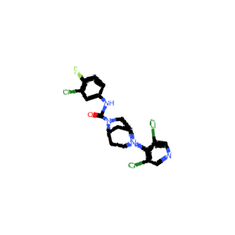 O=C(Nc1ccc(F)c(Cl)c1)N1CC2CC1CCN2c1c(Cl)cncc1Cl